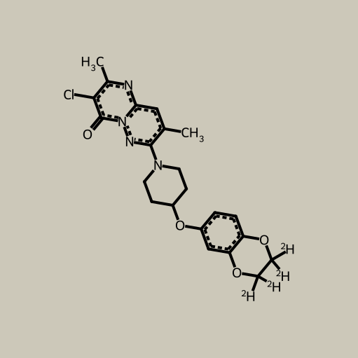 [2H]C1([2H])Oc2ccc(OC3CCN(c4nn5c(=O)c(Cl)c(C)nc5cc4C)CC3)cc2OC1([2H])[2H]